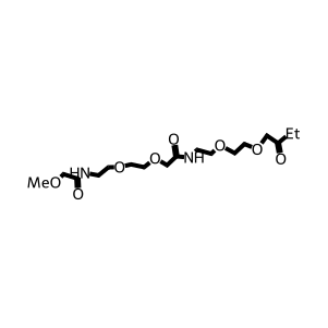 CCC(=O)COCCOCCNC(=O)COCCOCCNC(=O)COC